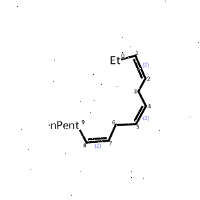 CC/C=C\C/C=C\C/C=C\[CH]CCCC